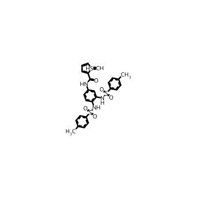 C#[SH]1C=CC=C1C(=O)Nc1ccc(NS(=O)(=O)c2ccc(C)cc2)c(NS(=O)(=O)c2ccc(C)cc2)c1